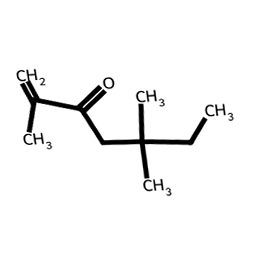 C=C(C)C(=O)CC(C)(C)CC